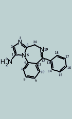 Nc1cnc2n1-c1ccccc1C(c1ccccc1)=NC2